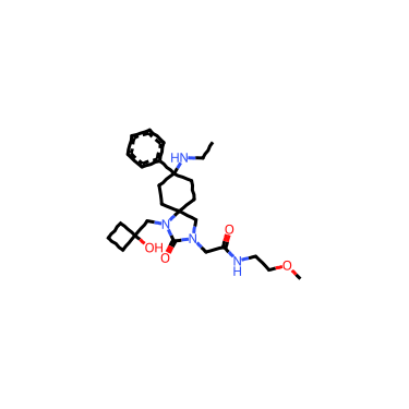 CCNC1(c2ccccc2)CCC2(CC1)CN(CC(=O)NCCOC)C(=O)N2CC1(O)CCC1